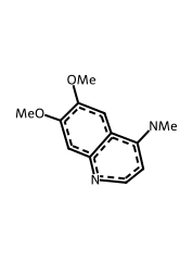 CNc1ccnc2cc(OC)c(OC)cc12